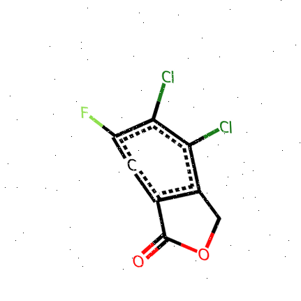 O=C1OCc2c1cc(F)c(Cl)c2Cl